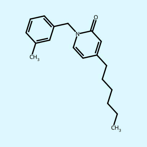 CCCCCCc1ccn(Cc2cccc(C)c2)c(=O)c1